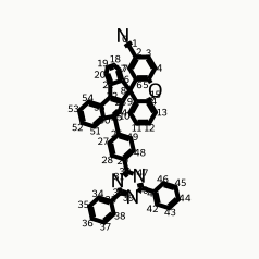 N#Cc1ccc2c(c1)C1(c3ccccc3O2)c2ccccc2-c2c1cc(-c1ccc(-c3nc(-c4ccccc4)nc(-c4ccccc4)n3)cc1)c1ccccc21